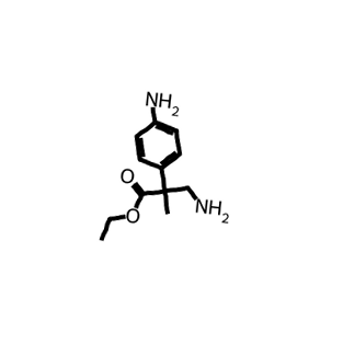 CCOC(=O)C(C)(CN)c1ccc(N)cc1